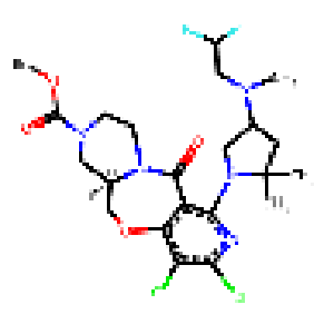 CN(CC(F)F)C1CN(c2nc(Cl)c(Cl)c3c2C(=O)N2CCN(C(=O)OC(C)(C)C)C[C@@H]2CO3)C(C)(C)C1